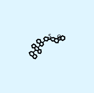 c1ccc2c(-c3c4ccccc4c(-c4ccc(-c5ccc6sc7cc8c(ccc9c%10ccccc%10oc89)cc7c6c5)c5ccccc45)c4ccccc34)cccc2c1